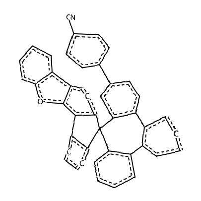 N#Cc1ccc(-c2ccc3c(c2)C2(c4ccccc4-c4ccccc4-3)c3ccccc3-c3c2ccc2c3oc3ccccc32)cc1